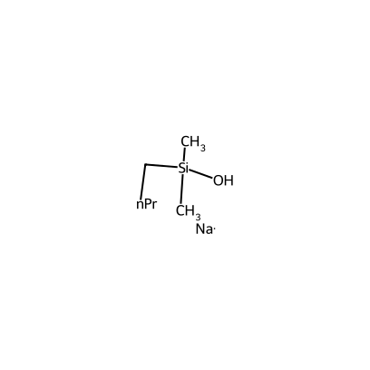 CCCC[Si](C)(C)O.[Na]